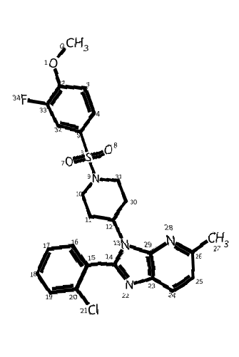 COc1ccc(S(=O)(=O)N2CCC(n3c(-c4ccccc4Cl)nc4ccc(C)nc43)CC2)cc1F